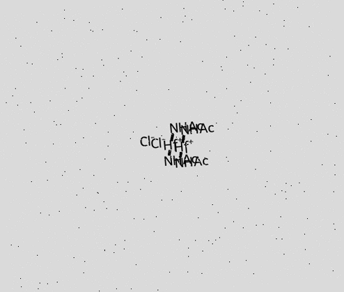 CC(=O)[NH][Hf+][NH]C(C)=O.CC(=O)[NH][Hf+][NH]C(C)=O.[Cl-].[Cl-]